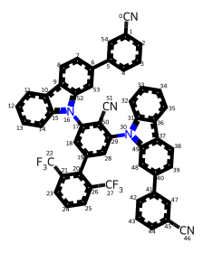 N#Cc1cccc(-c2ccc3c4ccccc4n(-c4cc(-c5c(C(F)(F)F)cccc5C(F)(F)F)cc(-n5c6ccccc6c6ccc(-c7cccc(C#N)c7)cc65)c4C#N)c3c2)c1